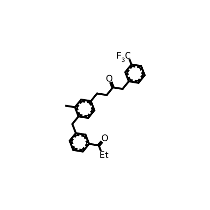 CCC(=O)c1cccc(Cc2ccc(CCC(=O)Cc3cccc(C(F)(F)F)c3)cc2C)c1